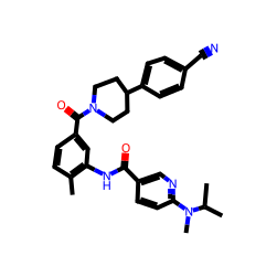 Cc1ccc(C(=O)N2CCC(c3ccc(C#N)cc3)CC2)cc1NC(=O)c1ccc(N(C)C(C)C)nc1